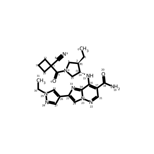 CC[C@@H]1CN(C(=O)C2(C#N)CCC2)C[C@H]1Nc1c(C(N)=O)cnn2cc(-c3cnn(CC)c3)nc12